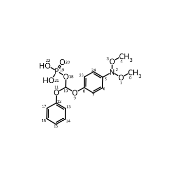 CON(OC)c1ccc(OC(Oc2ccccc2)OP(=O)(O)O)cc1